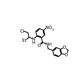 CCC(CCl)Nc1ccc([N+](=O)[O-])cc1C(=O)NCc1ccc2c(c1)OCO2